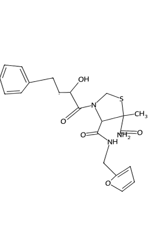 CC1(C(N)=O)SCN(C(=O)C(O)[CH]Cc2ccccc2)C1C(=O)NCc1ccco1